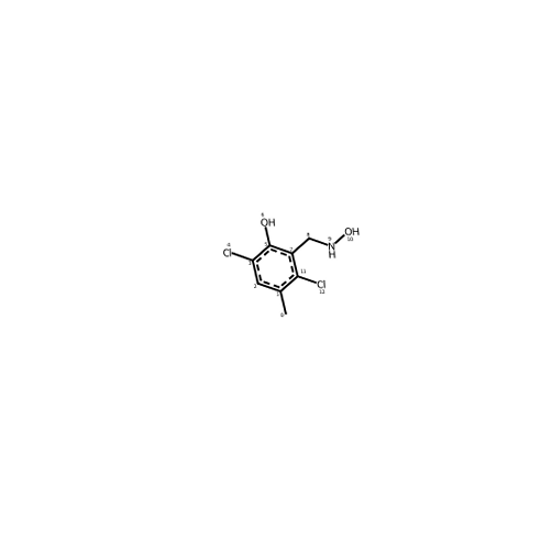 Cc1cc(Cl)c(O)c(CNO)c1Cl